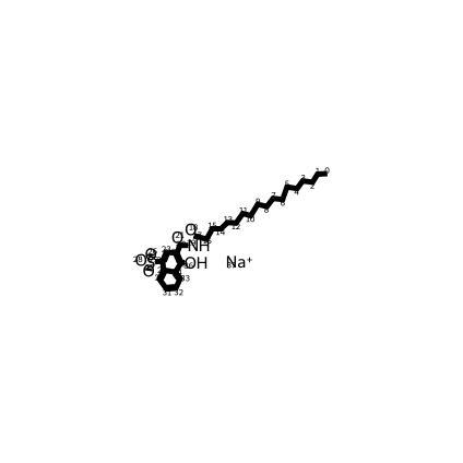 CCCCCCCCCCCCCCCCCC(=O)NC(=O)c1cc(S(=O)(=O)[O-])c2ccccc2c1O.[Na+]